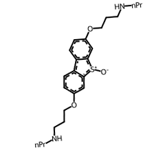 CCCNCCCOc1ccc2c3ccc(OCCCNCCC)cc3[s+]([O-])c2c1